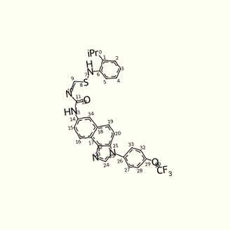 CC(C)c1ccccc1NS/C=N\C(=O)Nc1ccc2c(ccc3c2ncn3-c2ccc(OC(F)(F)F)cc2)c1